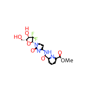 COC(=O)c1cccc(C(=O)Nc2ccn([C@@H]3O[C@H](CO)[C@@H](O)C3(F)F)c(=O)n2)n1